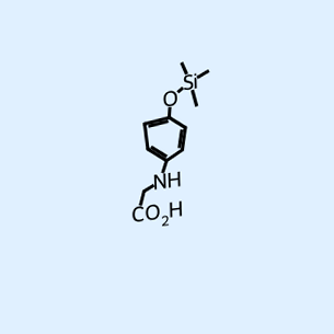 C[Si](C)(C)Oc1ccc(NCC(=O)O)cc1